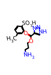 Cc1ccc(S(=O)(=O)O)cc1.NCCCOC(=O)c1c[nH]nn1